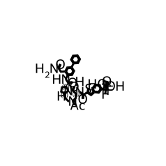 CC(=O)N1CC[C@H]2CC[C@@H](C(=O)Nc3ccc(-c4ccccc4)cc3CC(N)=O)N2C(=O)[C@@H](NC(=O)c2cc3cc(C(F)(F)P(=O)(O)O)ccc3s2)C1